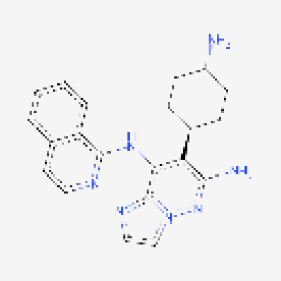 Nc1nn2ccnc2c(Nc2nccc3ccccc23)c1[C@H]1CC[C@H](N)CC1